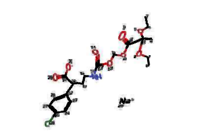 CCOC(C)(OCC)C(=O)OCOC(=O)NCCC(C(=O)[O-])c1ccc(Cl)cc1.[Na+]